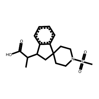 CC(C(=O)O)C1CC2(CCN(S(C)(=O)=O)CC2)c2ccccc21